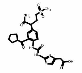 CS(=O)(=O)CCC(C(N)=O)c1ccc(NC(=O)Nc2nc(CC(=O)O)cs2)c(C(=O)C2CCCC2)c1